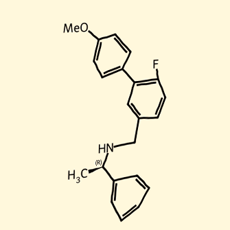 COc1ccc(-c2cc(CN[C@H](C)c3ccccc3)ccc2F)cc1